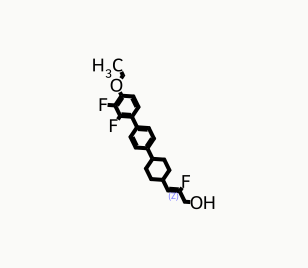 CCOc1ccc(-c2ccc(C3CCC(/C=C(\F)CO)CC3)cc2)c(F)c1F